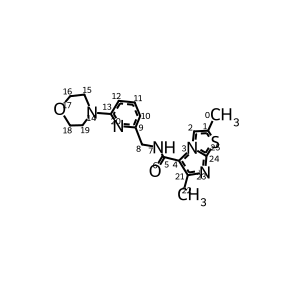 Cc1cn2c(C(=O)NCc3cccc(N4CCOCC4)n3)c(C)nc2s1